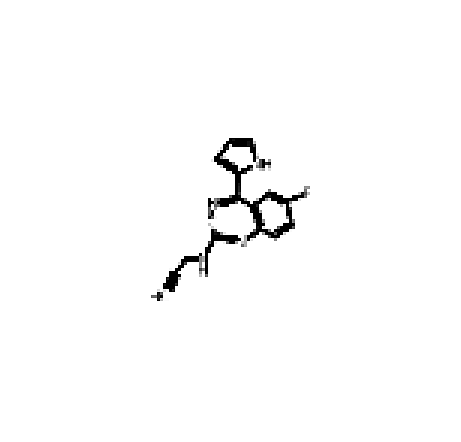 C#CCNC1=Nc2ccc(F)cc2C(c2ccc[nH]2)=NC1